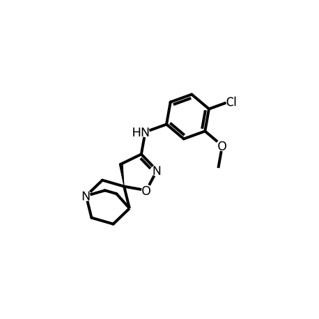 COc1cc(NC2=NO[C@@]3(C2)CN2CCC3CC2)ccc1Cl